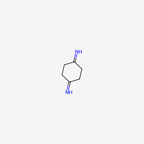 N=C1CCC(=N)CC1